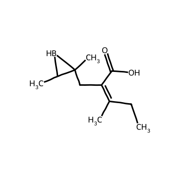 CC/C(C)=C(/CC1(C)BC1C)C(=O)O